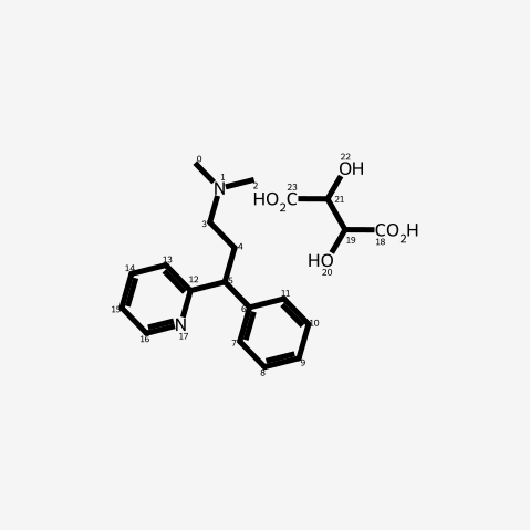 CN(C)CCC(c1ccccc1)c1ccccn1.O=C(O)C(O)C(O)C(=O)O